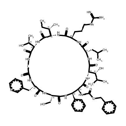 CC[C@H](C)[C@@H]1NC(=O)[C@@H](CCCNC(=N)N)NC(=O)[C@H](CC(C)C)NC(=O)[C@H]([C@H](O)C(C)C)NC(=O)[C@@H](NC(=O)OCc2ccccc2)[C@@H](c2ccccc2)NC(=O)[C@H](CO)NC(=O)[C@H](Cc2cccnc2)NC(=O)CNC(=O)[C@H]([C@H](C)O)NC1=O